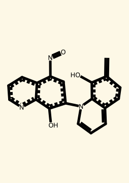 C=c1ccc2c(c1O)N(c1cc(N=O)c3cccnc3c1O)C=CC=2